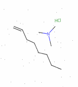 C=CCCCCCC.CN(C)C.Cl